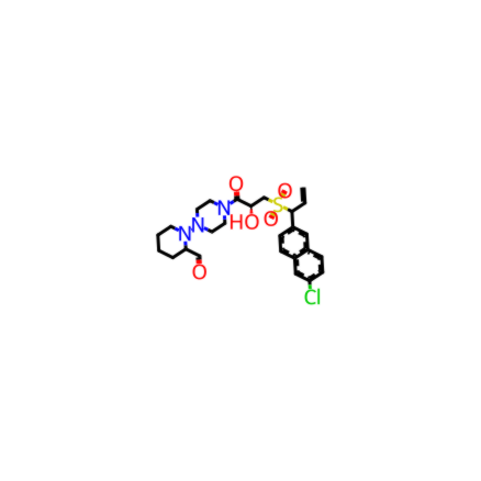 C=CC(c1ccc2cc(Cl)ccc2c1)S(=O)(=O)C[C@@H](O)C(=O)N1CCN(N2CCCCC2C=O)CC1